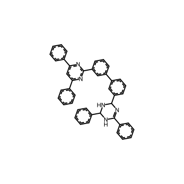 c1ccc(C2=NC(c3cccc(-c4cccc(-c5nc(-c6ccccc6)cc(-c6ccccc6)n5)c4)c3)NC(c3ccccc3)N2)cc1